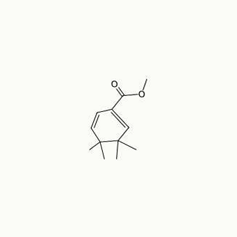 COC(=O)C1=CC(C)(C)C(C)(C)C=C1